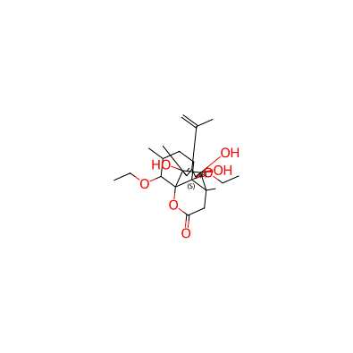 C=C(C)C1=C(C)C2(O)C34OC(=O)CC(C)([C@@]3(OCC)CCC(C)C4OCC)[C@]2(O)C1O